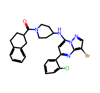 O=C(C1CCc2ccccc2C1)N1CCC(Nc2cc(-c3ccccc3Cl)nc3c(Br)cnn23)CC1